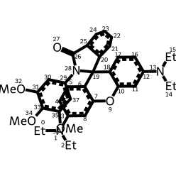 CCN(CC)c1ccc2c(c1)Oc1cc(N(CC)CC)ccc1C21c2ccccc2C(=O)N1c1cc(OC)c(OC)c(OC)c1